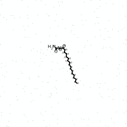 CCCCCCCCCCCCCCCCCC(=O)ONC(N)=O